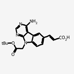 CC(C)(C)OC(=O)Cn1c2ccc(C=CC(=O)O)cc2c2c(N)ncnc21